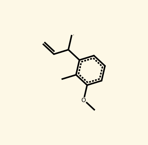 [CH2]C(C=C)c1cccc(OC)c1C